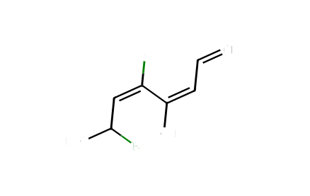 C=C/C=C(C)\C(F)=C/C(C)Br